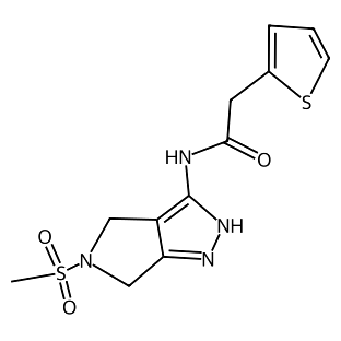 CS(=O)(=O)N1Cc2n[nH]c(NC(=O)Cc3cccs3)c2C1